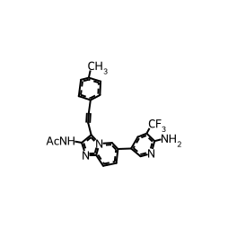 CC(=O)Nc1nc2ccc(-c3cnc(N)c(C(F)(F)F)c3)cn2c1C#Cc1ccc(C)cc1